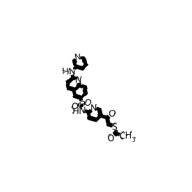 CC(=O)SCC(=O)c1ccc(NS(=O)(=O)c2ccc3nc(Nc4cccnc4)ccc3c2)nc1